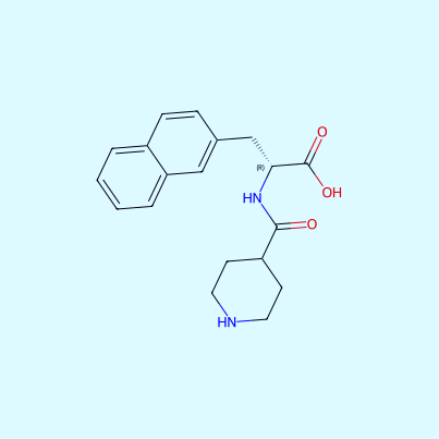 O=C(N[C@H](Cc1ccc2ccccc2c1)C(=O)O)C1CCNCC1